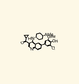 CN[C@H]1CC[C@H](Nc2c(C(=O)C3CC3)cnc3ccc(-c4cc(Cl)c(O)c(OC)c4)cc23)CC1